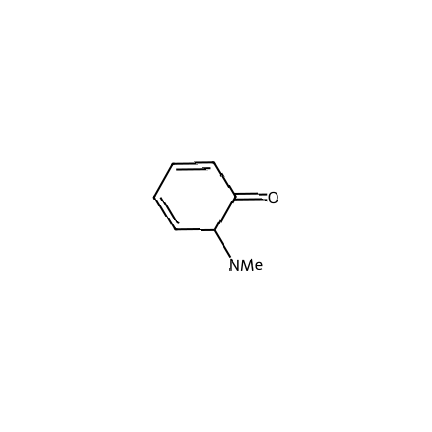 CNC1C=CC=CC1=O